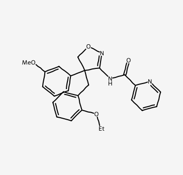 CCOc1ccccc1CC1(c2cccc(OC)c2)CON=C1NC(=O)c1ccccn1